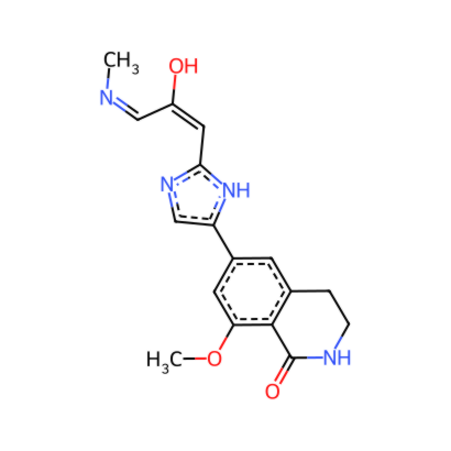 C/N=C\C(O)=C/c1ncc(-c2cc3c(c(OC)c2)C(=O)NCC3)[nH]1